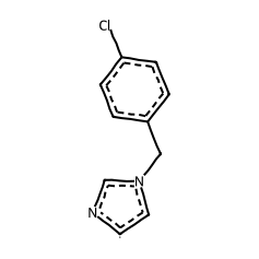 Clc1ccc(Cn2c[c]nc2)cc1